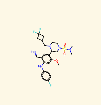 COc1cc(Nc2ccc(F)cc2)c(C=N)cc1C1CN(S(=O)(=O)N(C)C)CCN1CC1CC(F)(F)C1